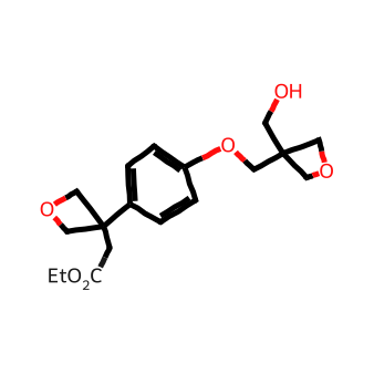 CCOC(=O)CC1(c2ccc(OCC3(CO)COC3)cc2)COC1